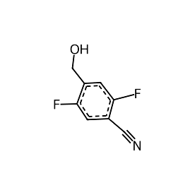 N#Cc1cc(F)c(CO)cc1F